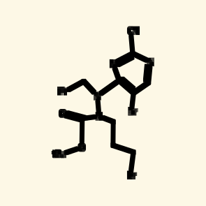 CC(C)CN(c1nc(C#N)ncc1Br)N(CCCBr)C(=O)OC(C)(C)C